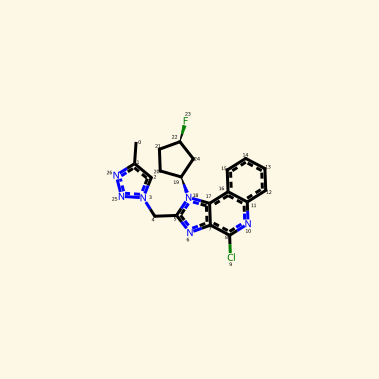 Cc1cn(Cc2nc3c(Cl)nc4ccccc4c3n2[C@H]2CC[C@@H](F)C2)nn1